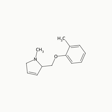 Cc1ccccc1OCC1C=CCN1C